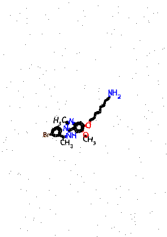 COc1cc2c(N[C@H](C)c3cccc(Br)c3)nc(C)nc2cc1OCCCCCCCCN